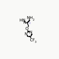 N=N/C(=C\N)COc1ncc(C(F)(F)F)cn1